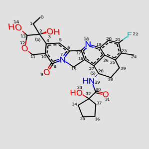 CC[C@]1(O)c2cc3n(c(=O)c2COC1O)Cc1c-3nc2cc(F)c(C)c3c2c1[C@@H](NC(=O)C1(O)CCCC1)CC3